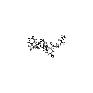 CCS(=O)(=O)CCNC(=O)c1cc(Cl)ccc1OC(C)(C)c1nnc(-c2ccccc2C(F)(F)F)n1C